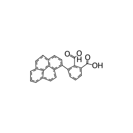 O=C(O)c1cccc(-c2ccc3ccc4cccc5ccc2c3c45)c1C(=O)O